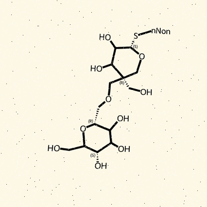 CCCCCCCCCS[C@@H]1OC[C@@](CO)(COC[C@H]2OC(CO)[C@@H](O)C(O)C2O)C(O)C1O